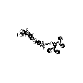 CCc1c2c(nc3ccc(OC(=O)c4ccc(S(=O)(=O)NCCCCOc5cc(CN(Cc6ccccn6)Cc6ccccn6)cc(CN(Cc6ccccn6)Cc6ccccn6)c5)cc4)cc13)-c1cc3c(c(=O)n1C2)COC(=O)[C@]3(O)CC